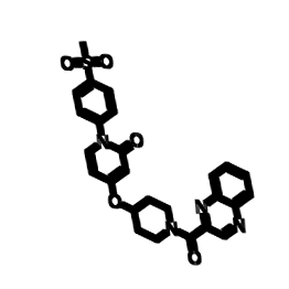 CS(=O)(=O)c1ccc(-n2ccc(OC3CCN(C(=O)c4cnc5ccccc5n4)CC3)cc2=O)cc1